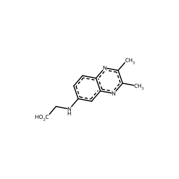 Cc1nc2ccc(NCC(=O)O)cc2nc1C